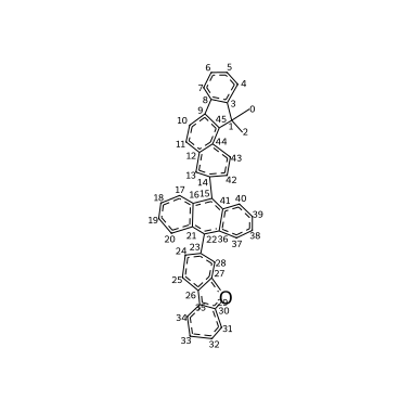 CC1(C)c2ccccc2-c2ccc3cc(-c4c5ccccc5c(-c5ccc6c(c5)oc5ccccc56)c5ccccc45)ccc3c21